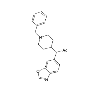 CC(=O)C(c1ccc2ncoc2c1)C1CCN(Cc2ccccc2)CC1